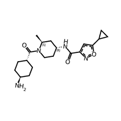 C[C@H]1C[C@H](NC(=O)c2cc(C3CC3)on2)CCN1C(=O)[C@H]1CC[C@H](N)CC1